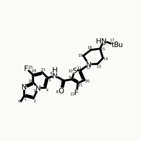 Cc1cn2cc(NC(=O)c3sc(N4CCC(NC(C)(C)C)CC4)cc3F)cc(F)c2n1